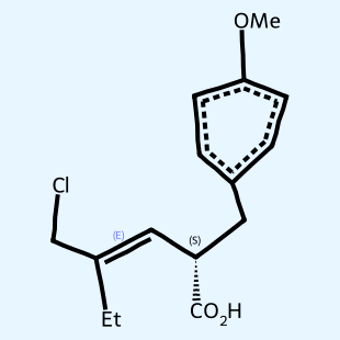 CC/C(=C\[C@H](Cc1ccc(OC)cc1)C(=O)O)CCl